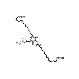 CCCCC/C=C\C/C=C\CCCCCCCCNC(=O)CC(NC(=O)CCCN(C)C)C(=O)NCCCCCCCC/C=C\C/C=C\CCCCC